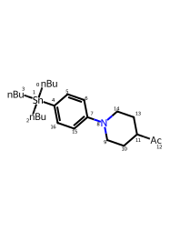 CCC[CH2][Sn]([CH2]CCC)([CH2]CCC)[c]1ccc(N2CCC(C(C)=O)CC2)cc1